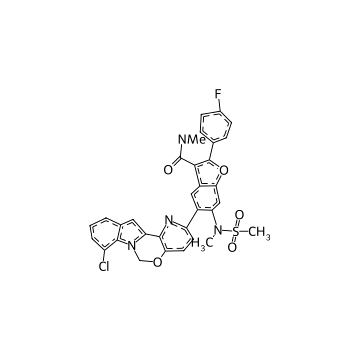 CNC(=O)c1c(-c2ccc(F)cc2)oc2cc(N(C)S(C)(=O)=O)c(-c3ccc4c(n3)-c3cc5cccc(Cl)c5n3CO4)cc12